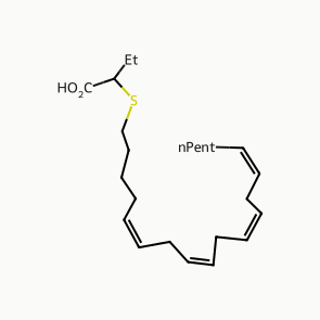 CCCCC/C=C\C/C=C\C/C=C\C/C=C\CCCCSC(CC)C(=O)O